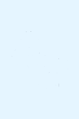 Clc1cccc(-c2cccc3c2oc2cccc(-c4ccccc4)c23)c1-c1ccccc1